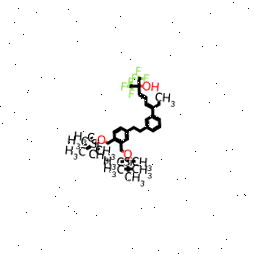 CCC(=CC=CC(O)(C(F)(F)F)C(F)(F)F)c1cccc(CCc2ccc(CO[Si](C)(C)C(C)(C)C)c(CO[Si](C)(C)C(C)(C)C)c2)c1